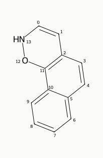 C1=Cc2ccc3ccccc3c2ON1